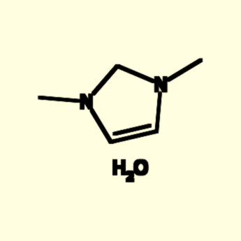 CN1C=CN(C)C1.O